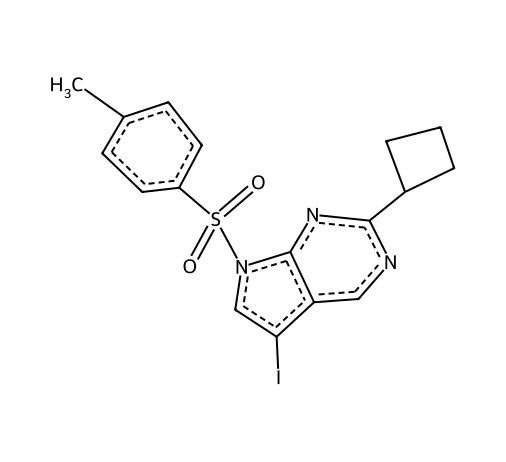 Cc1ccc(S(=O)(=O)n2cc(I)c3cnc(C4CCC4)nc32)cc1